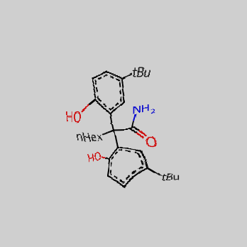 CCCCCCC(C(N)=O)(c1cc(C(C)(C)C)ccc1O)c1cc(C(C)(C)C)ccc1O